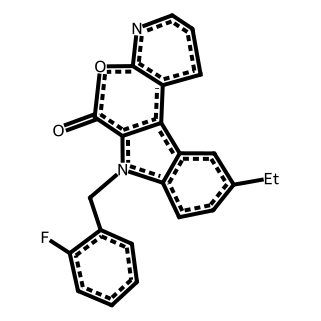 CCc1ccc2c(c1)c1c3cccnc3oc(=O)c1n2Cc1ccccc1F